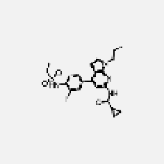 CCCn1ccc2c(-c3ccc(NS(=O)(=O)CC)c(F)c3)cc(NC(=O)C3CC3)nc21